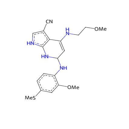 COCCNC1=CC(Nc2ccc(SC)cc2OC)Nc2[nH]cc(C#N)c21